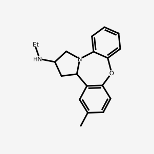 CCNC1CC2c3cc(C)ccc3Oc3ccccc3N2C1